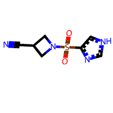 N#CC1CN(S(=O)(=O)c2c[nH]cn2)C1